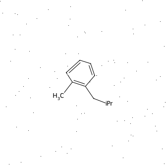 Cc1ccc[c]c1CC(C)C